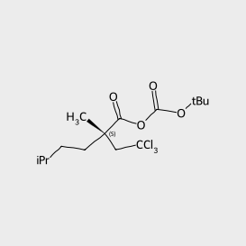 CC(C)CC[C@@](C)(CC(Cl)(Cl)Cl)C(=O)OC(=O)OC(C)(C)C